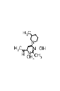 CNC1C=C(N2CCCC(C)C2)N=C(C)N1C.Cl